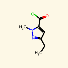 CCc1cc(C(=O)Cl)n(C)n1